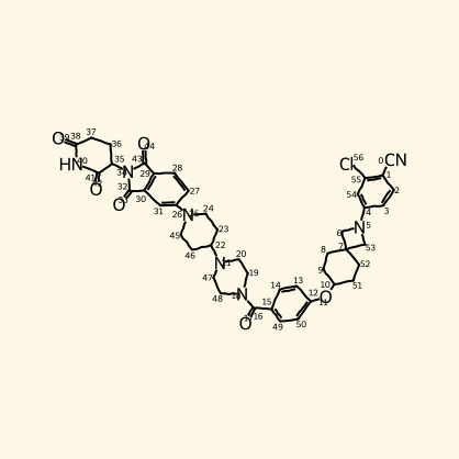 N#Cc1ccc(N2CC3(CCC(Oc4ccc(C(=O)N5CCN(C6CCN(c7ccc8c(c7)C(=O)N(C7CCC(=O)NC7=O)C8=O)CC6)CC5)cc4)CC3)C2)cc1Cl